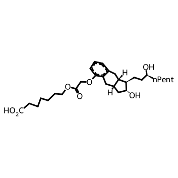 CCCCC[C@H](O)CC[C@@H]1[C@H]2Cc3cccc(OCC(=O)OCCCCCCC(=O)O)c3C[C@H]2C[C@H]1O